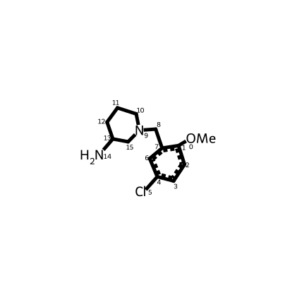 COc1ccc(Cl)cc1CN1CCCC(N)C1